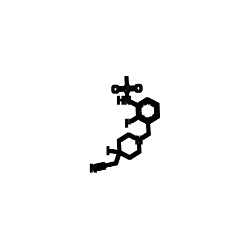 CS(=O)(=O)Nc1cccc(CN2CCC(I)(CC#N)CC2)c1F